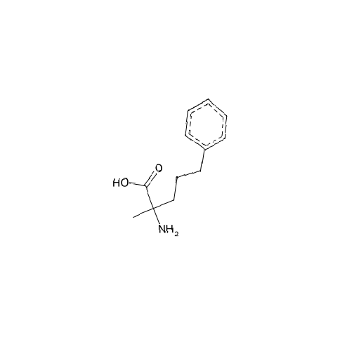 CC(N)(CCCc1ccccc1)C(=O)O